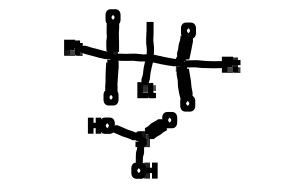 CCC(C)(S(=O)(=O)CC)S(=O)(=O)CC.O=[Si](O)O